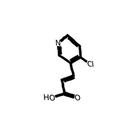 O=C(O)C=Cc1cnccc1Cl